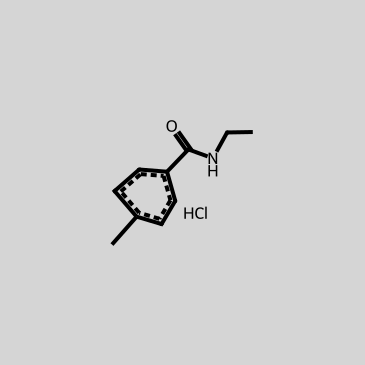 CCNC(=O)c1ccc(C)cc1.Cl